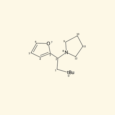 CC(C)(C)CC(c1ccco1)N1CCCC1